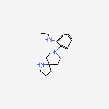 CCNc1ccccc1N1CCC2(CCCN2)CC1